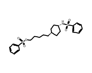 O=S(=O)(N[C@H]1CC[C@H](CCCCCOS(=O)(=O)c2ccccc2)CC1)c1ccccc1